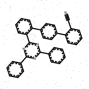 N#Cc1ccccc1-c1ccc(-c2ccccc2-c2nc(-c3ccccc3)nc(-c3ccccc3)n2)cc1